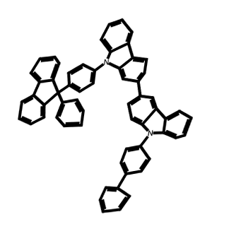 c1ccc(-c2ccc(-n3c4ccccc4c4cc(-c5ccc6c7ccccc7n(-c7ccc(C8(c9ccccc9)c9ccccc9-c9ccccc98)cc7)c6c5)ccc43)cc2)cc1